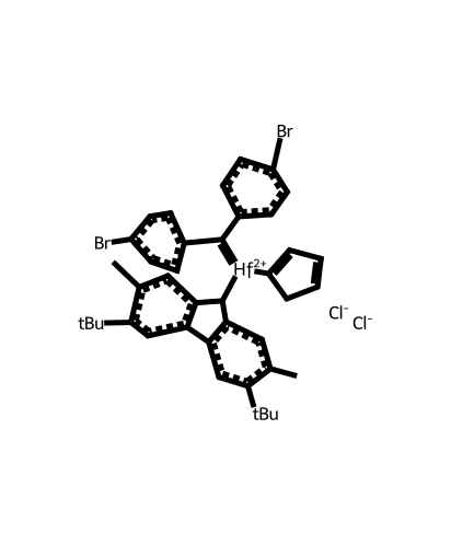 Cc1cc2c(cc1C(C)(C)C)-c1cc(C(C)(C)C)c(C)cc1[CH]2[Hf+2]([C]1=CC=CC1)=[C](c1ccc(Br)cc1)c1ccc(Br)cc1.[Cl-].[Cl-]